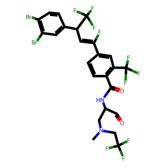 CN(CC(C=O)NC(=O)c1ccc(/C(F)=C/C(c2ccc(Br)c(Br)c2)C(F)(F)F)cc1C(F)(F)F)CC(F)(F)F